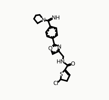 N=C(c1ccc(-c2nc(CNC(=O)C3=CCC(Cl)S3)co2)cc1)N1CCCC1